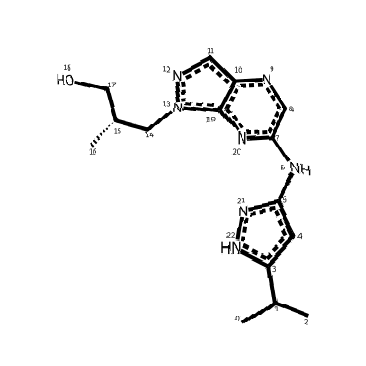 CC(C)c1cc(Nc2cnc3cnn(C[C@H](C)CO)c3n2)n[nH]1